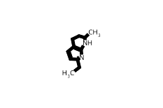 CCc1ccc2c(n1)NC(C)CC2